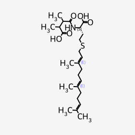 CC(C)=CCC/C(C)=C/CC/C(C)=C/CSCC[C@H](NC(=O)C(C)C(C)C(=O)O)C(=O)O